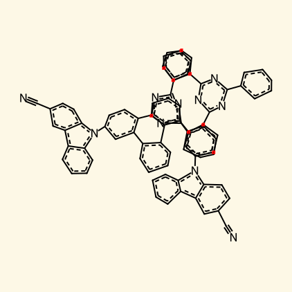 N#Cc1ccc2c(c1)c1ccccc1n2-c1ccc(-c2nc(-c3ccccc3)nc(-c3ccccc3)n2)c(-c2ccccc2-c2ccccc2-c2cc(-n3c4ccccc4c4cc(C#N)ccc43)ccc2-c2nc(-c3ccccc3)nc(-c3ccccc3)n2)c1